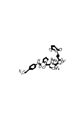 CCc1ccc(NC(=O)[C@@H]2CCCN2C(=O)[C@H](CO)NC(=O)[C@H](CO)NC(=O)CCN2C(=O)C=CC2=O)cc1